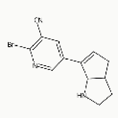 N#Cc1cc(C2=CCC3CCNC23)cnc1Br